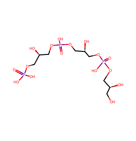 O=P(O)(O)OC[C@@H](O)COP(=O)(O)OC[C@@H](O)COP(=O)(O)OC[C@@H](O)CO